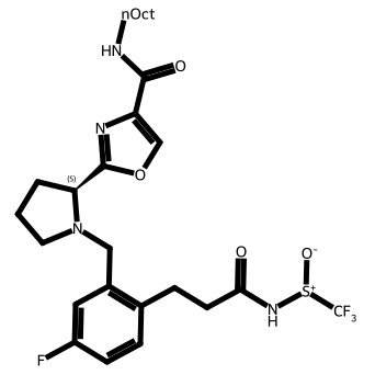 CCCCCCCCNC(=O)c1coc([C@@H]2CCCN2Cc2cc(F)ccc2CCC(=O)N[S+]([O-])C(F)(F)F)n1